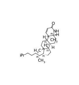 CC(C)CCC[C@@H](C)[C@H]1CC[C@H]2[C@@H]3CC[C@H]4NC(=O)C=C[C@]4(C)[C@H]3CC[C@]12C